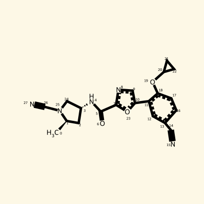 C[C@@H]1C[C@@H](NC(=O)c2ncc(-c3cc(C#N)ccc3OC3CC3)o2)CN1C#N